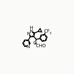 O=COC(c1cccc(C(F)(F)F)c1)c1c(-c2cccnc2)n[nH]c1C1CC1